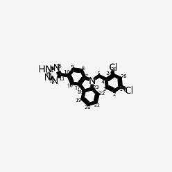 Clc1ccc(CN2c3ccc(-c4nn[nH]n4)cc3C3C=CC=CC32)c(Cl)c1